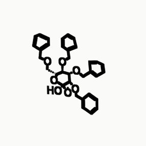 [O]C1(O)O[C@H](COCc2ccccc2)[C@@H](OCc2ccccc2)[C@H](OCc2ccccc2)[C@H]1OCc1ccccc1